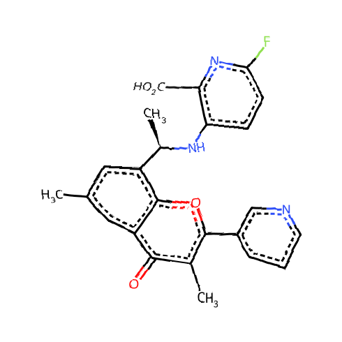 Cc1cc([C@@H](C)Nc2ccc(F)nc2C(=O)O)c2oc(-c3cccnc3)c(C)c(=O)c2c1